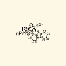 CCCC(=O)[O][Ti]([CH3])([O]C(=O)CCC)[CH]1CCCC2=C1CC1=C2CCCC1